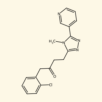 Cn1c(CCC(=O)Cc2ccccc2Cl)nnc1-c1cccnc1